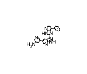 Nc1cncc(-c2cnc3[nH]nc(-c4nc5c(-c6ccoc6)ccnc5[nH]4)c3c2)c1